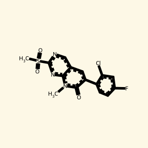 Cn1c(=O)c(-c2ccc(F)cc2Cl)cc2cnc(S(C)(=O)=O)nc21